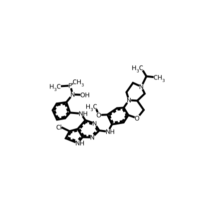 COc1cc2c(cc1Nc1nc(Nc3ccccc3N(O)P(C)C)c3c(Cl)c[nH]c3n1)OCC1CN(C(C)C)CCN21